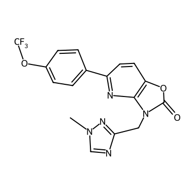 Cn1cnc(Cn2c(=O)oc3ccc(-c4ccc(OC(F)(F)F)cc4)nc32)n1